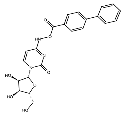 O=C(ONc1ccn([C@@H]2O[C@H](CO)[C@@H](O)[C@H]2O)c(=O)n1)c1ccc(-c2ccccc2)cc1